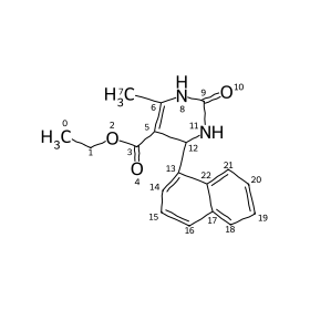 CCOC(=O)C1=C(C)NC(=O)NC1c1cccc2ccccc12